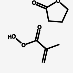 C=C(C)C(=O)OO.O=C1CCCO1